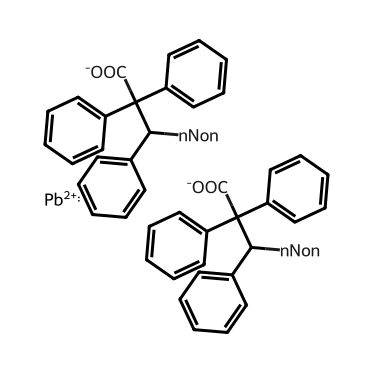 CCCCCCCCCC(c1ccccc1)C(C(=O)[O-])(c1ccccc1)c1ccccc1.CCCCCCCCCC(c1ccccc1)C(C(=O)[O-])(c1ccccc1)c1ccccc1.[Pb+2]